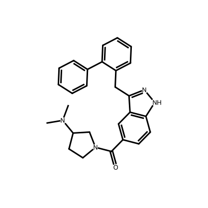 CN(C)C1CCN(C(=O)c2ccc3[nH]nc(Cc4ccccc4-c4ccccc4)c3c2)C1